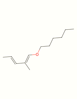 CC=CC(C)=COCCCCCC